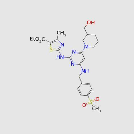 CCOC(=O)c1sc(Nc2nc(NCc3ccc(S(C)(=O)=O)cc3)cc(N3CCCC(CO)C3)n2)nc1C